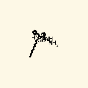 CCCCCCCCCCCC(=O)NC(Cc1ccccc1)C(=O)N1CCCC1C(=O)NCCN